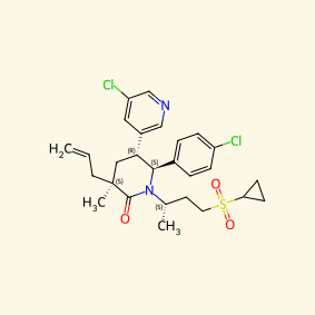 C=CC[C@@]1(C)C[C@H](c2cncc(Cl)c2)[C@@H](c2ccc(Cl)cc2)N([C@@H](C)CCS(=O)(=O)C2CC2)C1=O